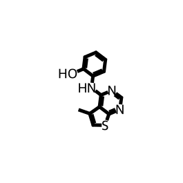 Cc1csc2ncnc(Nc3ccccc3O)c12